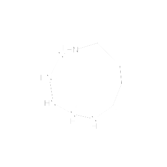 C1CCNNNNNNC1